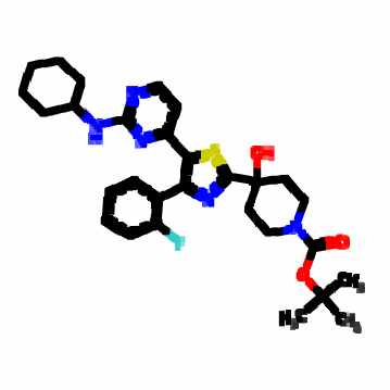 CC(C)(C)OC(=O)N1CCC(O)(c2nc(-c3ccccc3F)c(-c3ccnc(NC4CCCCC4)n3)s2)CC1